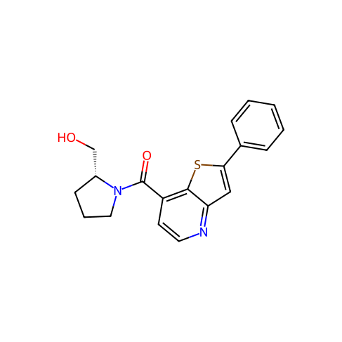 O=C(c1ccnc2cc(-c3ccccc3)sc12)N1CCC[C@@H]1CO